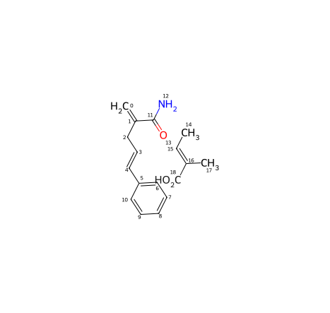 C=C(CC=Cc1ccccc1)C(N)=O.CC=C(C)C(=O)O